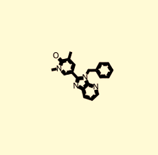 Cc1cc(-c2nc3cccnc3n2Cc2ccccc2)cn(C)c1=O